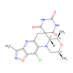 Cc1noc2c(Cl)c3c(nc12)CC1(C(=O)NC(=O)NC1=O)[C@@H]1[C@@H](C)O[C@@H](C)CN31